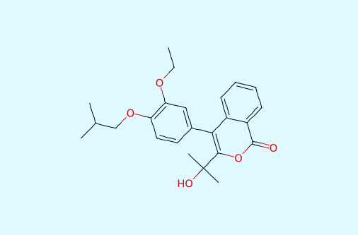 CCOc1cc(-c2c(C(C)(C)O)oc(=O)c3ccccc23)ccc1OCC(C)C